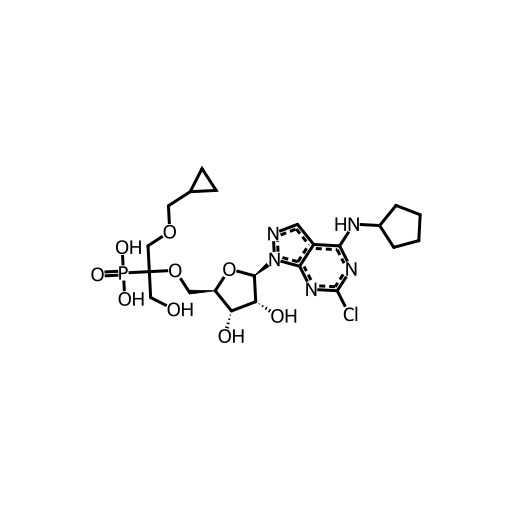 O=P(O)(O)C(CO)(COCC1CC1)OC[C@H]1O[C@@H](n2ncc3c(NC4CCCC4)nc(Cl)nc32)[C@H](O)[C@@H]1O